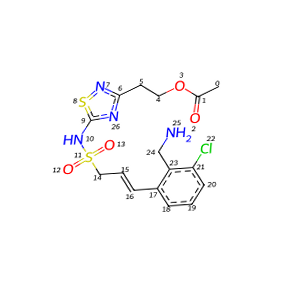 CC(=O)OCCc1nsc(NS(=O)(=O)CC=Cc2cccc(Cl)c2CN)n1